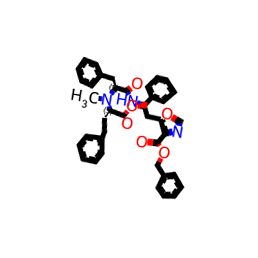 CN([C@@H](Cc1ccccc1)C(=O)NCCc1ocnc1C(=O)OCc1ccccc1)[C@@H](CCc1ccccc1)C(=O)OCc1ccccc1